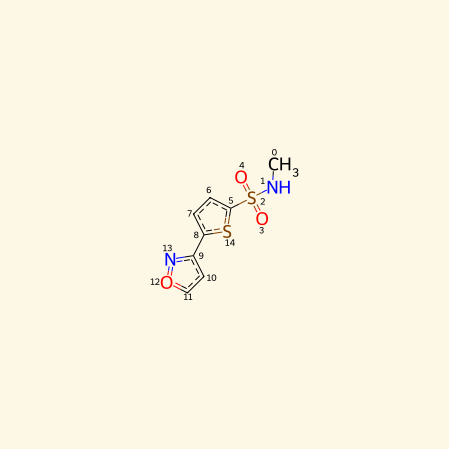 CNS(=O)(=O)c1ccc(-c2ccon2)s1